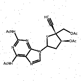 C#C[C@]1(COC(C)=O)SC(n2cnc3c(NC(C)=O)nc(NC(C)=O)nc32)C[C@@H]1OC(C)=O